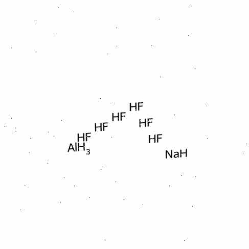 F.F.F.F.F.F.[AlH3].[NaH]